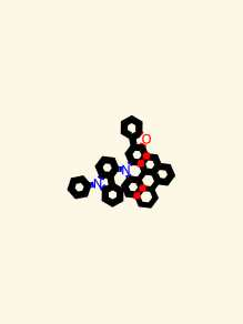 c1ccc(-n2c3ccccc3c3c(N(c4ccc5oc6ccccc6c5c4)c4ccccc4-c4cccc5cccc(C6CCCCC6)c45)cccc32)cc1